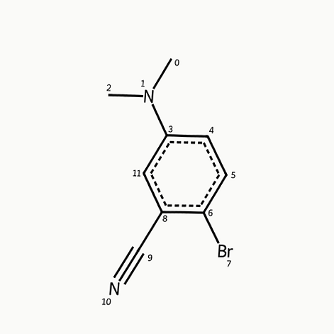 CN(C)c1ccc(Br)c(C#N)c1